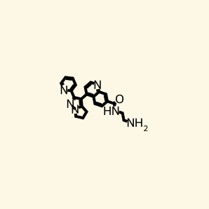 NCCNC(=O)c1ccc2c(-c3c(-c4ccccn4)nn4c3CCC4)ccnc2c1